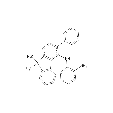 CC1(C)c2ccccc2-c2c1ccc(-c1ccccc1)c2Nc1ccccc1N